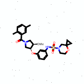 CO[C@@H]1CN(C(=O)c2cc(C)ccc2C)C[C@H]1Oc1cccc(NS(=O)(=O)N2CCOC3(CC3)C2)c1